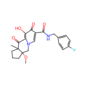 COC12CCCC1(C)C(=O)c1c(O)c(=O)c(C(=O)NCc3ccc(F)cc3)cn1C2